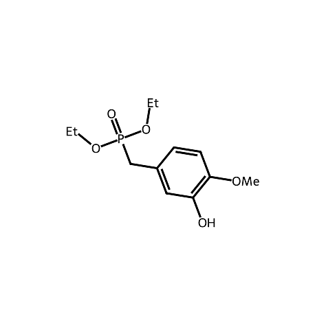 CCOP(=O)(Cc1ccc(OC)c(O)c1)OCC